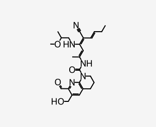 CC/C=C/C(C#N)=C(\C=C(/C)NC(=O)N1CCCc2cc(CO)c(C=O)nc21)NCC(C)OC